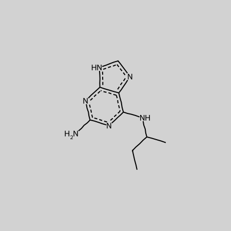 CCC(C)Nc1nc(N)nc2[nH]cnc12